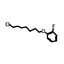 Fc1[c]cccc1OCCCCCCCCl